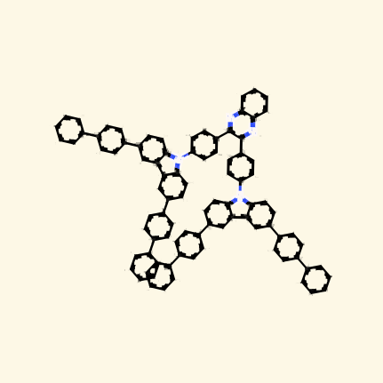 c1ccc(-c2ccc(-c3ccc4c(c3)c3cc(-c5ccc(-c6ccccc6)cc5)ccc3n4-c3ccc(-c4nc5ccccc5nc4-c4ccc(-n5c6ccc(-c7ccc(-c8ccccc8)cc7)cc6c6cc(-c7ccc(-c8ccccc8)cc7)ccc65)cc4)cc3)cc2)cc1